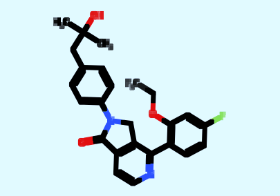 CC(C)(O)Cc1ccc(N2Cc3c(ccnc3-c3ccc(F)cc3OCC(F)(F)F)C2=O)cc1